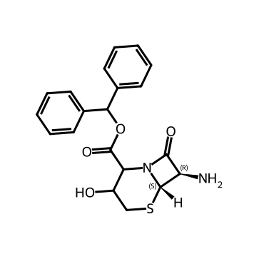 N[C@@H]1C(=O)N2C(C(=O)OC(c3ccccc3)c3ccccc3)C(O)CS[C@@H]12